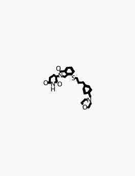 O=C1CCC(N2Cc3c(SCCCc4ccc(CN5CCOCC5)cc4)cccc3C2=O)C(=O)N1